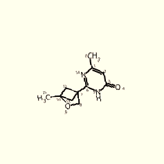 Cc1cc(=O)[nH]c(C23COC(C)(C2)C3)n1